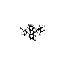 Cc1ccc(OC(=O)CN(C)C)c(C(CCN(C(C)C)C(C)C)c2ccccc2)c1